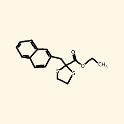 CCOC(=O)C1(Cc2ccc3ccccc3c2)SCCS1